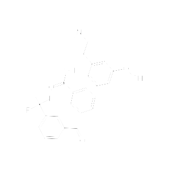 COc1cccc(CCN)c1.O=C(O)c1ccccc1.O=Cc1cccc(C(F)(F)F)c1